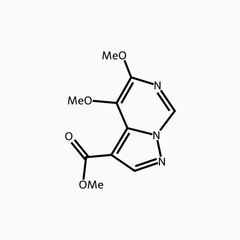 COC(=O)c1cnn2cnc(OC)c(OC)c12